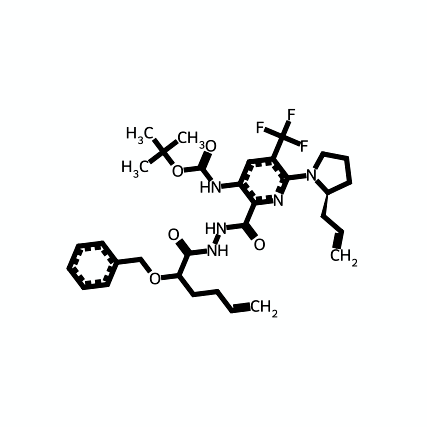 C=CCCC(OCc1ccccc1)C(=O)NNC(=O)c1nc(N2CCC[C@H]2CC=C)c(C(F)(F)F)cc1NC(=O)OC(C)(C)C